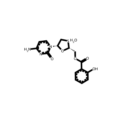 Nc1ccn([C@@H]2CS[C@H](COC(=O)c3ccccc3O)O2)c(=O)n1.O